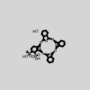 Cl.O=S(=O)(O)c1ccc2c3nc4nc(nc5[nH]c(nc6nc(nc([nH]3)c2c1S(=O)(=O)O)-c1ccccc1-6)c1ccccc51)-c1ccccc1-4